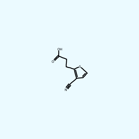 N#Cc1ccsc1CCC(=O)O